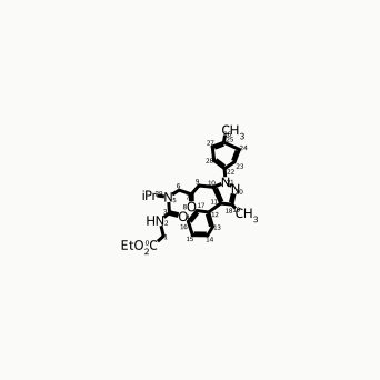 CCOC(=O)CNC(=O)N(CC(=O)Cc1c(-c2ccccc2)c(C)nn1-c1ccc(C)cc1)C(C)C